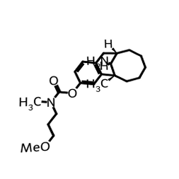 COCCCN(C)C(=O)Oc1ccc2c(c1)[C@@]1(C)CCCCC[C@@H](C2)[C@@H]1N